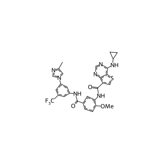 COc1ccc(C(=O)Nc2cc(-n3cnc(C)c3)cc(C(F)(F)F)c2)cc1NC(=O)c1csc2c(NC3CC3)ncnc12